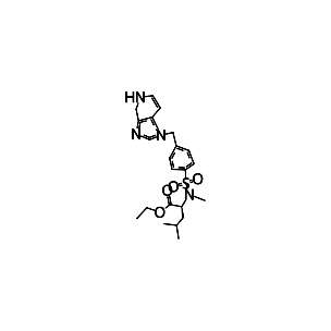 CCOC(=O)[C@H](CC(C)C)N(C)S(=O)(=O)c1ccc(Cn2cnc3c2C=CNC3)cc1